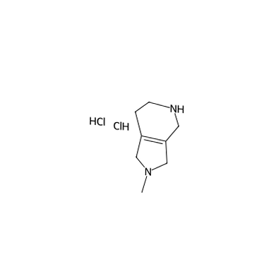 CN1CC2=C(CNCC2)C1.Cl.Cl